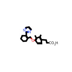 Cc1c(CCC(=O)O)ccc(OCC2=C(c3ncccn3)CCCC2)c1C